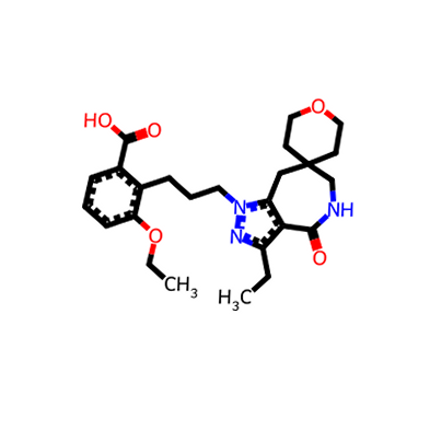 CCOc1cccc(C(=O)O)c1CCCn1nc(CC)c2c1CC1(CCOCC1)CNC2=O